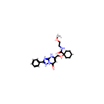 COCCNC(=O)C1(OCc2cc(=O)n3nc(-c4ccccc4)nc3[nH]2)CCCCC1